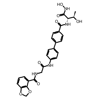 C[C@@H](O)[C@H](NC(=O)c1ccc(-c2ccc(NC(=O)CNC(=O)c3cccc4c3OCO4)cc2)cc1)C(=O)NO